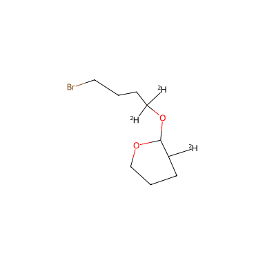 [2H]C1CCCOC1OC([2H])([2H])CCCBr